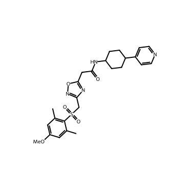 COc1cc(C)c(S(=O)(=O)Cc2noc(CC(=O)NC3CCC(c4ccncc4)CC3)n2)c(C)c1